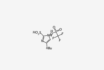 CCCCc1c[nH]c(S(=O)(=O)O)n1.O=S(=O)(O)C(F)(F)F